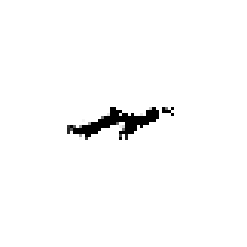 CCC(C)n1ncn(-c2ccc(N3CCN(c4ccc(OCCC5COC(Cn6c[n+](Cc7cc(C)c(OC(C)=O)c(C)c7)cn6)(c6ccc(Cl)cc6Cl)O5)cc4)CC3)cc2)c1=O.[Br-]